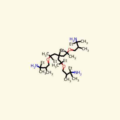 CCC(CC(C)(CC)OCC(C)C(C)(N)CC)(CC(C)(CC)OCC(C)C(C)(N)CC)CC(C)(CC)OCC(C)C(C)(N)CC